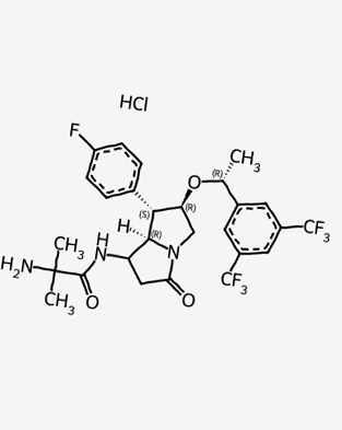 C[C@@H](O[C@H]1CN2C(=O)CC(NC(=O)C(C)(C)N)[C@H]2[C@@H]1c1ccc(F)cc1)c1cc(C(F)(F)F)cc(C(F)(F)F)c1.Cl